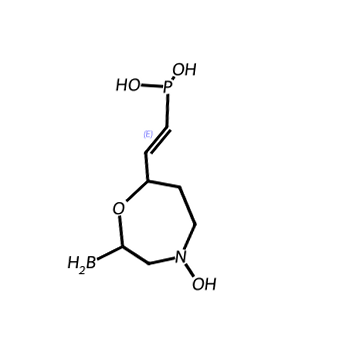 BC1CN(O)CCC(/C=C/P(O)O)O1